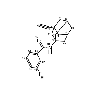 C#CC12CC3CC(C1)CC(NC(=O)c1cccc(F)c1)(C3)C2